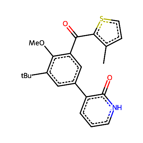 COc1c(C(=O)c2sccc2C)cc(-c2ccc[nH]c2=O)cc1C(C)(C)C